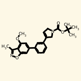 COc1cc(-c2cccc(C3=CCN(C(=O)OC(C)(C)C)C3)c2)cc2onc(C)c12